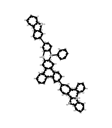 c1ccc(N2c3ccc(-c4ccc5c(c4)oc4ccccc45)cc3Oc3cc4c5ccccc5c5cc(-c6ccc7c(c6)c6ccccc6n6c8ccccc8nc76)ccc5c4cc32)cc1